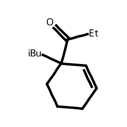 CCC(=O)C1(C(C)CC)C=CCCC1